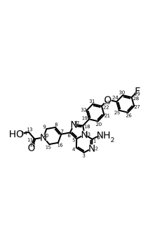 Nc1nccc2c(C3=CCN(C(=O)CO)CC3)nc(-c3ccc(Oc4cccc(F)c4)cc3)n12